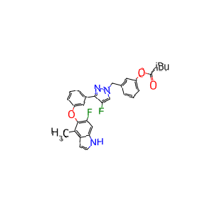 CCC(C)C(=O)Oc1cccc(Cn2cc(F)c(-c3cccc(Oc4c(F)cc5[nH]ccc5c4C)c3)n2)c1